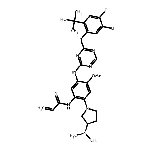 C=CC(=O)Nc1cc(Nc2ncnc(Nc3cc(Cl)c(F)cc3C(C)(C)O)n2)c(OC)cc1N1CCC(N(C)C)C1